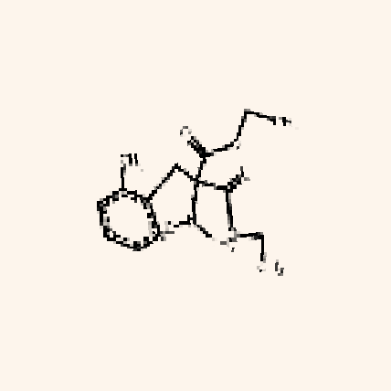 CCOC(=O)C(Cc1ccccc1C)(C(=O)OCC)N(C)C